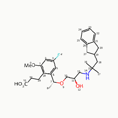 COc1cc(F)cc([C@@H](C)OC[C@H](O)CNC(C)(C)CC2Cc3ccccc3C2)c1CCC(=O)O